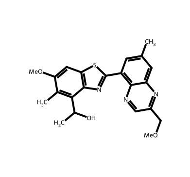 COCc1cnc2c(-c3nc4c(C(C)O)c(C)c(OC)cc4s3)cc(C)cc2n1